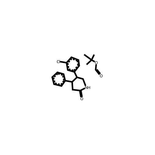 CC(C)(C)OC=O.O=C1CC(c2ccccc2)C(c2cccc(Cl)c2)CN1